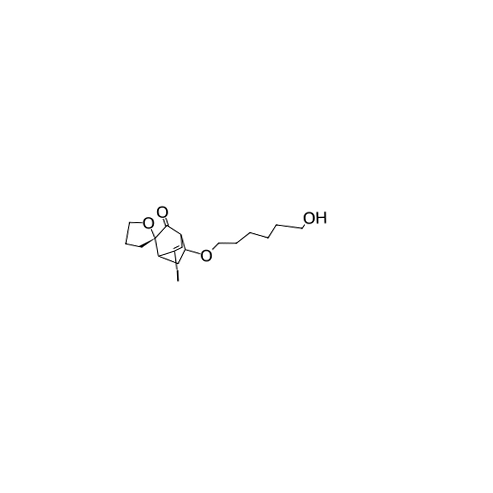 O=C1C2C=C(I)C(CC2OCCCCCCO)[C@@]12CCCO2